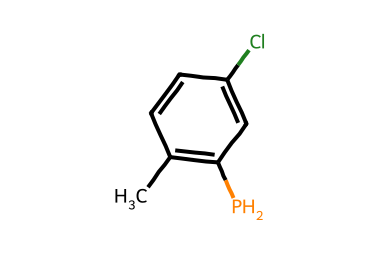 Cc1ccc(Cl)cc1P